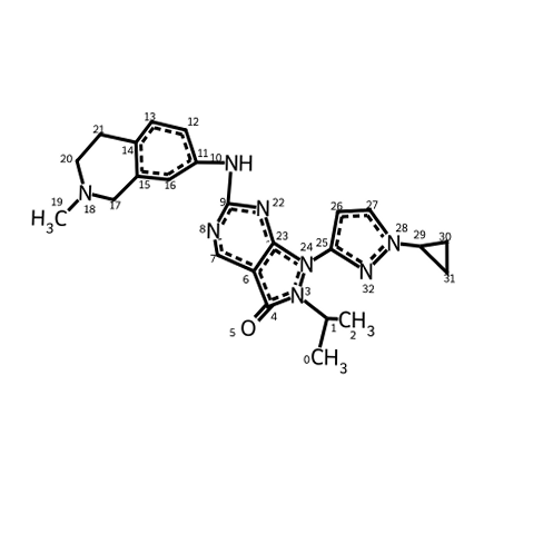 CC(C)n1c(=O)c2cnc(Nc3ccc4c(c3)CN(C)CC4)nc2n1-c1ccn(C2CC2)n1